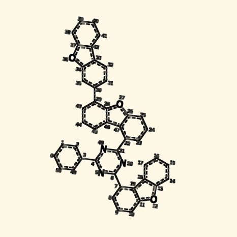 c1ccc(-c2nc(-c3cccc4oc5ccccc5c34)nc(-c3cccc4oc5c(-c6ccc7c(c6)oc6ccccc67)cccc5c34)n2)cc1